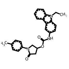 CCn1c2ccccc2c2cc(NC(=O)OC3CC(=O)N(c4ccc(C)cc4)C3)ccc21